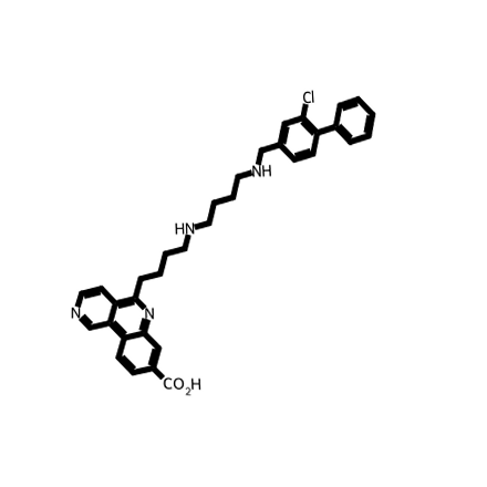 O=C(O)c1ccc2c(c1)nc(CCCCNCCCCNCc1ccc(-c3ccccc3)c(Cl)c1)c1ccncc12